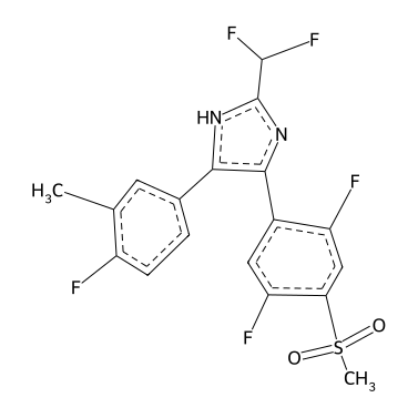 Cc1cc(-c2[nH]c(C(F)F)nc2-c2cc(F)c(S(C)(=O)=O)cc2F)ccc1F